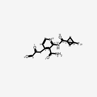 NC(=O)c1c(CC(=O)C=O)ccnc1NC(=O)C12CC(F)(C1)C2